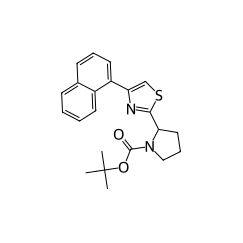 CC(C)(C)OC(=O)N1CCCC1c1nc(-c2cccc3ccccc23)cs1